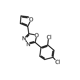 Clc1ccc(-c2nnc(-c3ccco3)o2)c(Cl)c1